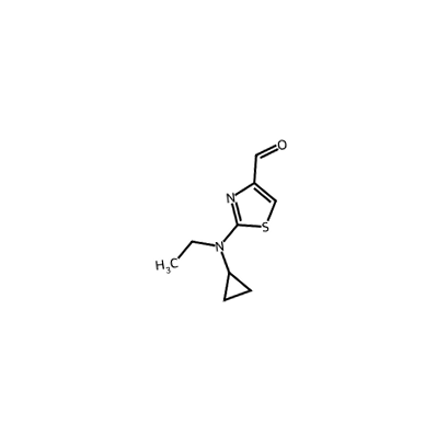 CCN(c1nc(C=O)cs1)C1CC1